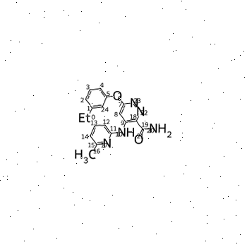 CCc1cccc(Oc2cc(Nc3cccc(C)n3)c(C(N)=O)nn2)c1